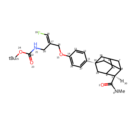 CNC(=O)[C@H]1C2CC3CC1C[C@](c1ccc(OC/C(=C/F)CNC(=O)OC(C)(C)C)cc1)(C3)C2